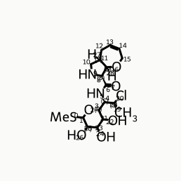 CSC1O[C@H]([C@H](NC(=O)[C@H]2NC[C@@H]3CC=CCO[C@@H]32)[C@H](C)Cl)C(O)C(O)[C@H]1O